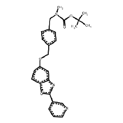 CN(Cc1ccc(COc2ccc3oc(-c4cccnc4)nc3c2)cc1)C(=O)OC(C)(C)C